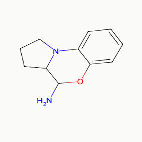 NC1Oc2ccccc2N2CCCC12